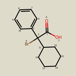 O=C(O)C(Br)(c1ccccc1)C1CCCCC1